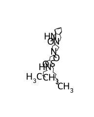 CCCCCCCC(NCCC(C)C)SC(C=O)CC(=O)N1CCC(N2CCc3ccccc3NC2=O)CC1